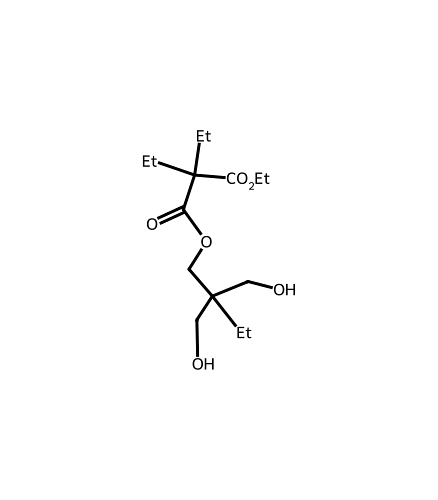 CCOC(=O)C(CC)(CC)C(=O)OCC(CC)(CO)CO